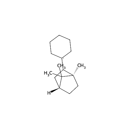 CC1(C)[C@@H]2CC[C@]1(C)C([C]1CCCCC1)C2